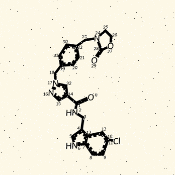 O=C(NCc1c[nH]c2ccc(Cl)cc12)c1cnn(Cc2ccc(CN3CCOC3=O)cc2)c1